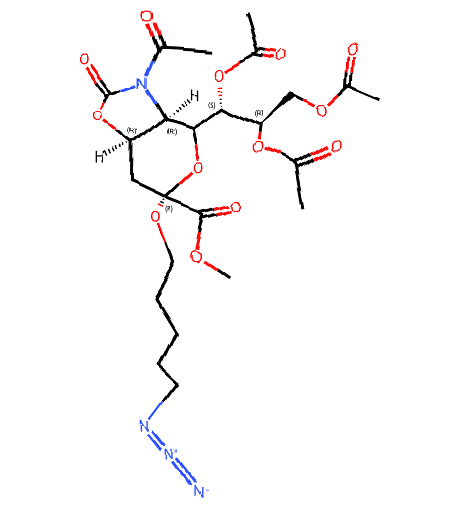 COC(=O)[C@@]1(OCCCCCN=[N+]=[N-])C[C@H]2OC(=O)N(C(C)=O)[C@H]2C([C@H](OC(C)=O)[C@@H](COC(C)=O)OC(C)=O)O1